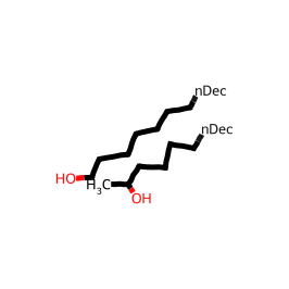 CCCCCCCCCCCCCCC(C)O.CCCCCCCCCCCCCCCCCO